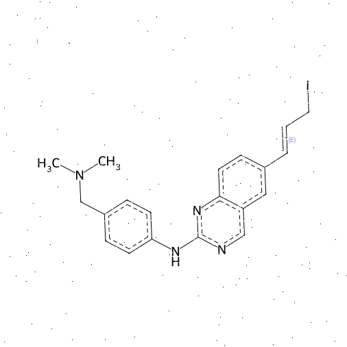 CN(C)Cc1ccc(Nc2ncc3cc(/C=C/CI)ccc3n2)cc1